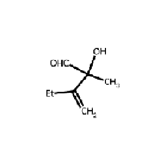 C=C(CC)C(C)(O)C=O